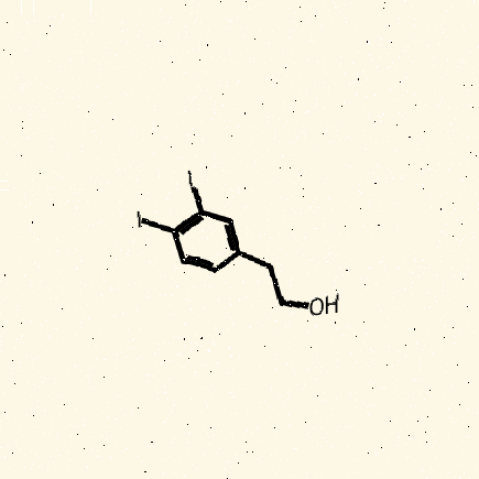 OCCc1ccc(I)c(I)c1